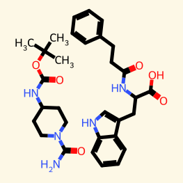 CC(C)(C)OC(=O)NC1CCN(C(N)=O)CC1.O=C(CCc1ccccc1)NC(Cc1c[nH]c2ccccc12)C(=O)O